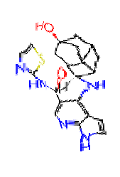 O=C(Nc1nccs1)c1cnc2[nH]ccc2c1N[C@H]1C2CC3CC1C[C@@](O)(C3)C2